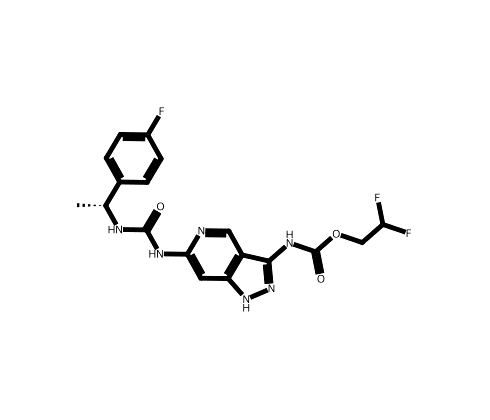 C[C@@H](NC(=O)Nc1cc2[nH]nc(NC(=O)OCC(F)F)c2cn1)c1ccc(F)cc1